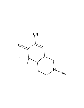 CC(=O)N1CCC2C(C=C(C#N)C(=O)C2(C)C)C1